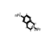 CCCc1ccc2c(c1)CCN(C(C)C)C2